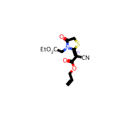 C=CCOC(=O)/C(C#N)=C1/SCC(=O)N1CC(=O)OCC